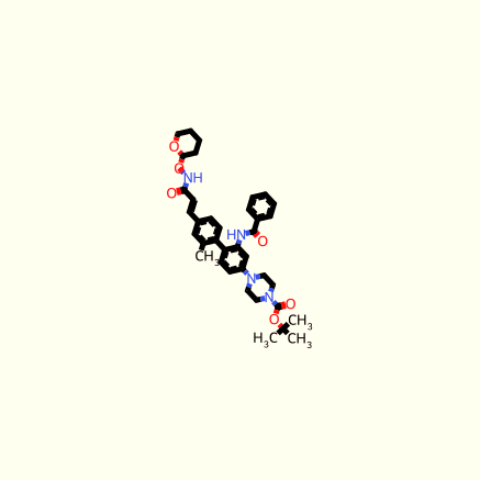 Cc1cc(/C=C/C(=O)NOC2CCCCO2)ccc1-c1ccc(N2CCN(C(=O)OC(C)(C)C)CC2)cc1NC(=O)c1ccccc1